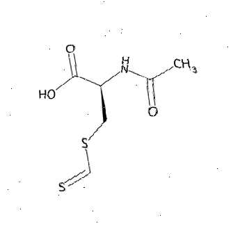 CC(=O)N[C@@H](CSC=S)C(=O)O